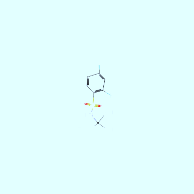 CC(C)(NS(=O)(=O)c1ccc(F)cc1F)C(=O)O